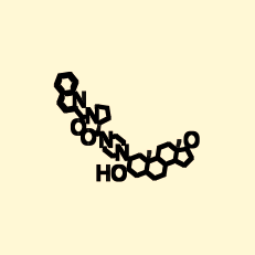 C[C@]12C[C@H](N3CCN(C(=O)[C@@H]4CCCN4C(=O)c4ccc5ccccc5n4)CC3)[C@@H](O)CC1CCC1C2CC[C@]2(C)C(=O)CCC12